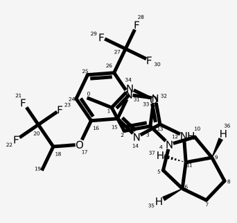 Cc1cc(N2C[C@H]3CC[C@@H](C2)[C@@H]3Nc2nc3c(OC(C)C(F)(F)F)ccc(C(F)(F)F)n3n2)on1